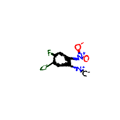 [C-]#[N+]c1cc(Cl)c(F)cc1[N+](=O)[O-]